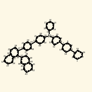 c1ccc(-c2ccc(-c3ccc(N(c4ccccc4)c4ccc(-c5ccc(-c6ccc7ccccc7c6-c6ccc7ccccc7c6)cc5)cc4)cc3)cc2)cc1